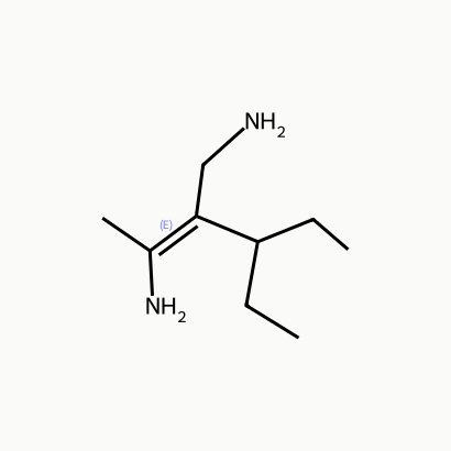 CCC(CC)/C(CN)=C(/C)N